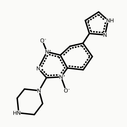 [O-][n+]1nc(N2CCNCC2)[n+]([O-])c2ccc(-c3cc[nH]n3)cc21